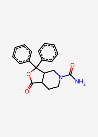 NC(=O)N1CCC2C(=O)OC(c3ccccc3)(c3ccccc3)C2C1